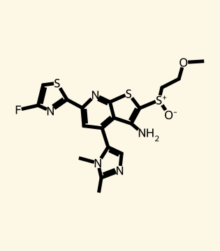 COCC[S+]([O-])c1sc2nc(-c3nc(F)cs3)cc(-c3cnc(C)n3C)c2c1N